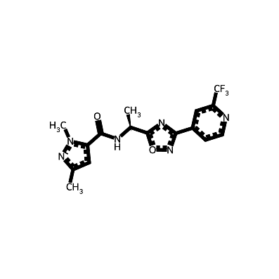 Cc1cc(C(=O)N[C@@H](C)c2nc(-c3ccnc(C(F)(F)F)c3)no2)n(C)n1